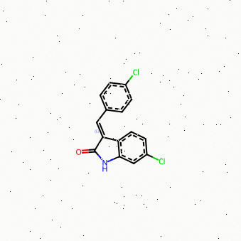 O=C1Nc2cc(Cl)ccc2/C1=C\c1ccc(Cl)cc1